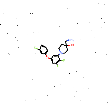 NCC1(O)CCN(c2cc(Oc3cccc(F)c3)cc(F)c2F)CC1